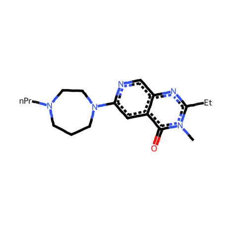 CCCN1CCCN(c2cc3c(=O)n(C)c(CC)nc3cn2)CC1